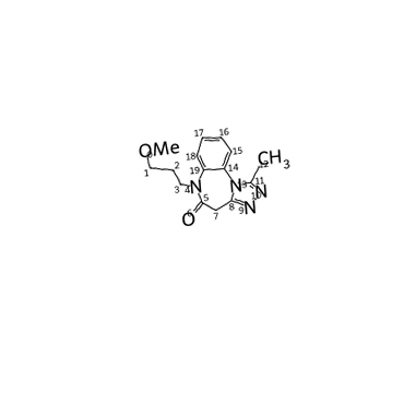 COCCCN1C(=O)Cc2nnc(C)n2-c2ccccc21